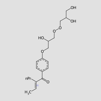 C/C=C(\CCC)C(=O)c1ccc(OCC(O)COOCC(O)CO)cc1